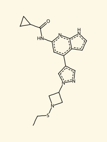 CCSN1CC(n2cc(-c3cc(NC(=O)C4CC4)nc4[nH]ccc34)cn2)C1